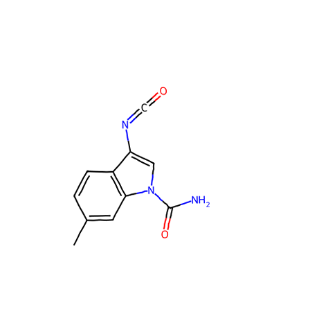 Cc1ccc2c(N=C=O)cn(C(N)=O)c2c1